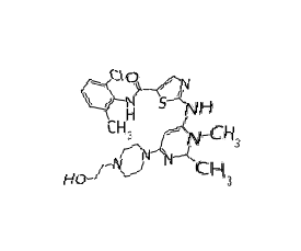 Cc1cccc(Cl)c1NC(=O)c1cnc(NC2=CC(N3CCN(CCO)CC3)=NC(C)N2C)s1